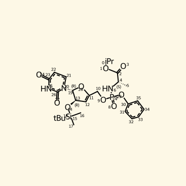 CC(C)OC(=O)[C@H](C)N[P@](=O)(OCC1=C[C@@H](O[Si](C)(C)C(C)(C)C)[C@H](n2ccc(=O)[nH]c2=O)O1)Oc1ccccc1